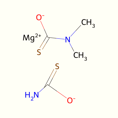 CN(C)C([O-])=S.NC([O-])=S.[Mg+2]